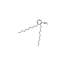 CCCCCCCCCCc1cccc(N)c1CCCCCCCCCC